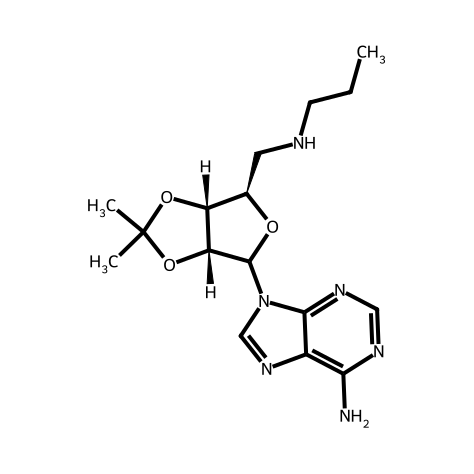 CCCNC[C@H]1OC(n2cnc3c(N)ncnc32)[C@@H]2OC(C)(C)O[C@H]12